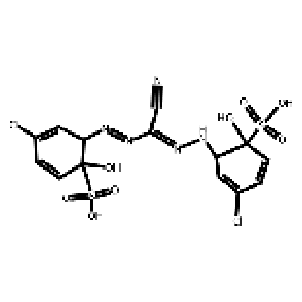 N#CC(/N=N/C1C=C(Cl)C=CC1(O)S(=O)(=O)O)=N\NC1C=C(Cl)C=CC1(O)S(=O)(=O)O